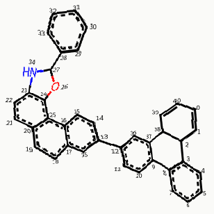 C1=CC2c3ccccc3-c3ccc(-c4ccc5c(ccc6ccc7c(c65)OC(c5ccccc5)N7)c4)cc3C2C=C1